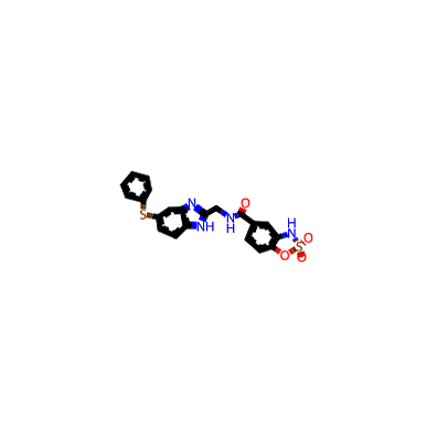 O=C(NCc1nc2cc(Sc3ccccc3)ccc2[nH]1)c1ccc2c(c1)NS(=O)(=O)O2